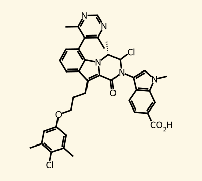 Cc1cc(OCCCc2c3n(c4c(-c5c(C)ncnc5C)cccc24)[C@H](C)C(Cl)N(c2cn(C)c4cc(C(=O)O)ccc24)C3=O)cc(C)c1Cl